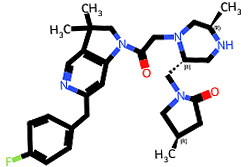 C[C@@H]1CC(=O)N(C[C@H]2CN[C@H](C)CN2CC(=O)N2CC(C)(C)c3cnc(Cc4ccc(F)cc4)cc32)C1